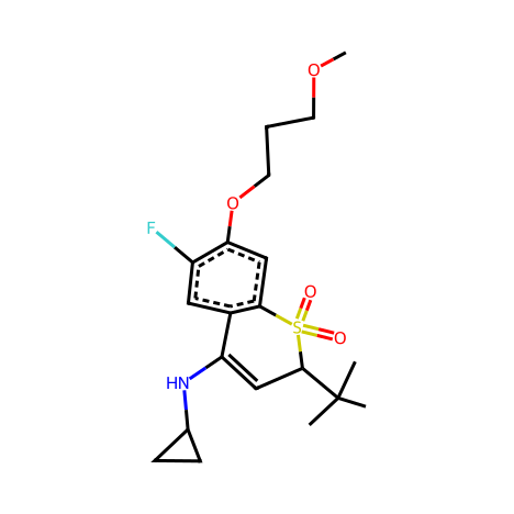 COCCCOc1cc2c(cc1F)C(NC1CC1)=CC(C(C)(C)C)S2(=O)=O